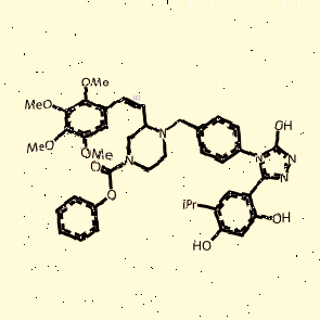 COc1cc(/C=C\C2CN(C(=O)Oc3ccccc3)CCN2Cc2ccc(-n3c(O)nnc3-c3cc(C(C)C)c(O)cc3O)cc2)c(OC)c(OC)c1OC